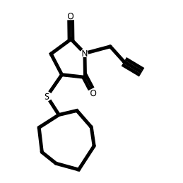 C#CCN1C(=O)CC(SC2CCCCCCC2)C1=O